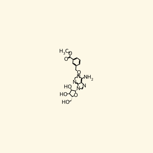 COC(=O)c1cccc(CON2CN=c3c(ncn3[C@@H]3O[C@H](CO)[C@@H](O)[C@H]3O)=C2N)c1